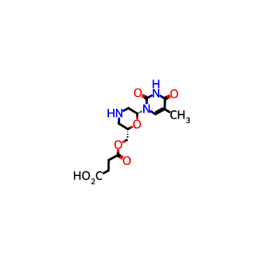 Cc1cn([C@H]2CNC[C@@H](COC(=O)CCC(=O)O)O2)c(=O)[nH]c1=O